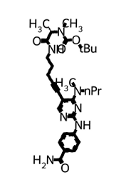 CCCN(C)c1nc(Nc2ccc(C(N)=O)cc2)ncc1C#CCCCNC(=O)[C@H](C)N(C)C(=O)OC(C)(C)C